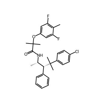 Cc1c(F)cc(OC(C)(C)C(=O)N[C@@H](C)[C@@H](c2ccccc2)C(C)(C)c2ccc(Cl)cc2)cc1F